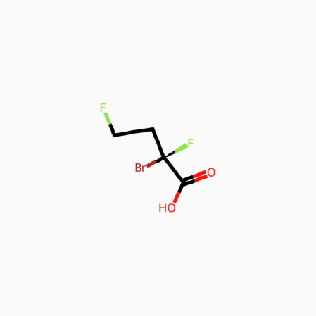 O=C(O)[C@](F)(Br)CCF